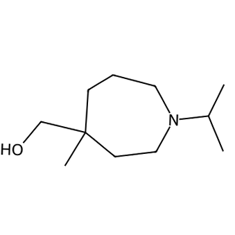 CC(C)N1CCCC(C)(CO)CC1